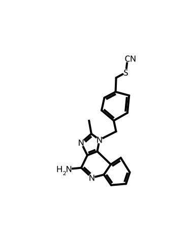 Cc1nc2c(N)nc3ccccc3c2n1Cc1ccc(CSC#N)cc1